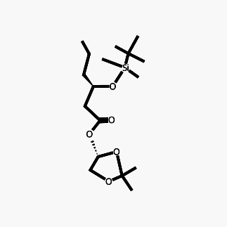 CCC[C@H](CC(=O)O[C@H]1COC(C)(C)O1)O[Si](C)(C)C(C)(C)C